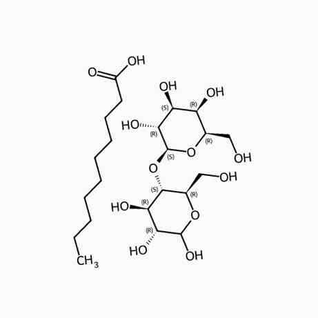 CCCCCCCCCC(=O)O.OC[C@H]1O[C@@H](O[C@H]2[C@H](O)[C@@H](O)C(O)O[C@@H]2CO)[C@H](O)[C@@H](O)[C@H]1O